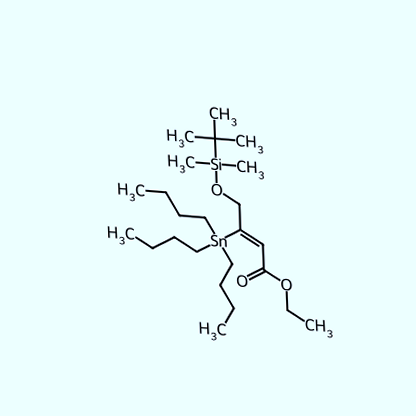 CCC[CH2][Sn]([CH2]CCC)([CH2]CCC)/[C](=C\C(=O)OCC)CO[Si](C)(C)C(C)(C)C